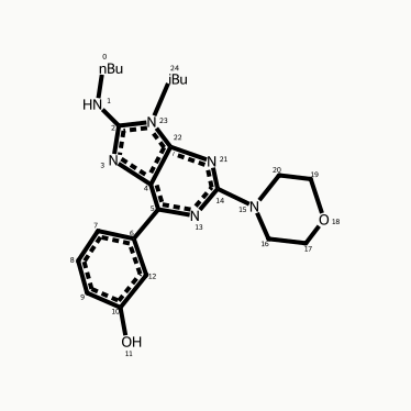 CCCCNc1nc2c(-c3cccc(O)c3)nc(N3CCOCC3)nc2n1C(C)CC